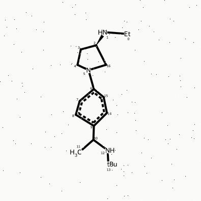 CCN[C@@H]1CCN(c2ccc(C(C)NC(C)(C)C)cc2)C1